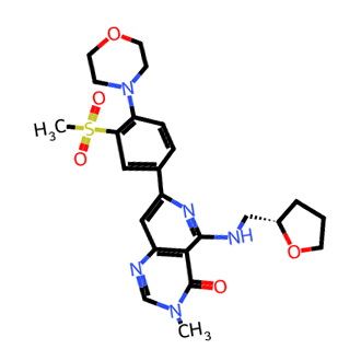 Cn1cnc2cc(-c3ccc(N4CCOCC4)c(S(C)(=O)=O)c3)nc(NC[C@@H]3CCCO3)c2c1=O